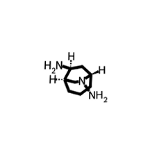 N[C@H]1C[C@@H]2CCC[C@@H]1CN2N